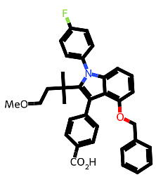 COCCC(C)(C)c1c(-c2ccc(C(=O)O)cc2)c2c(OCc3ccccc3)cccc2n1-c1ccc(F)cc1